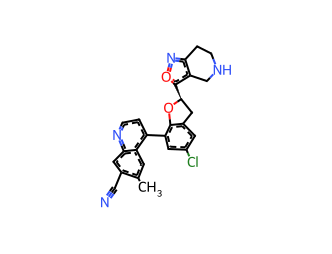 Cc1cc2c(-c3cc(Cl)cc4c3O[C@@H](c3onc5c3CNCC5)C4)ccnc2cc1C#N